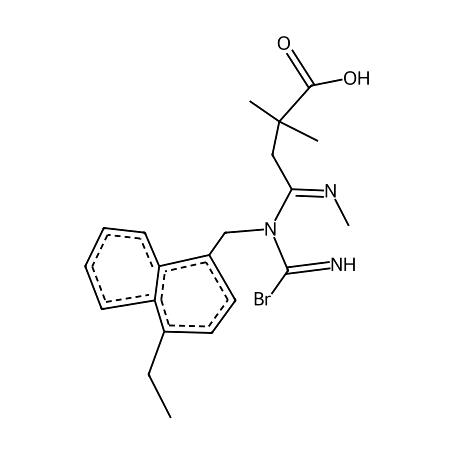 CCc1ccc(CN(C(=N)Br)/C(CC(C)(C)C(=O)O)=N\C)c2ccccc12